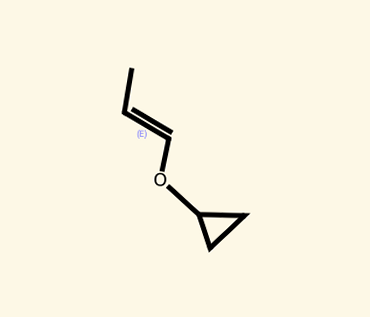 C/C=C/OC1CC1